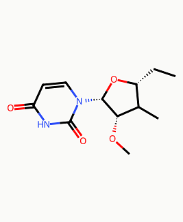 CC[C@H]1O[C@@H](n2ccc(=O)[nH]c2=O)[C@@H](OC)C1C